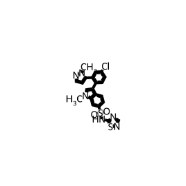 Cn1nccc1-c1cc(Cl)ccc1-c1cn(C)c2cc(S(=O)(=O)Nc3ncns3)ccc12